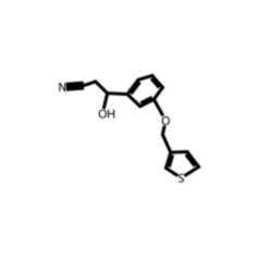 N#CCC(O)c1cccc(OCc2ccsc2)c1